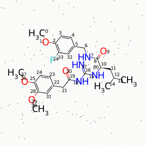 COc1ccc(CNC(=O)[C@@H](CC(C)C)NC(=N)NC(=O)Cc2ccc(OC)c(OC)c2)cc1F